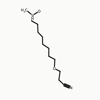 C[SiH]([O])CCCCCCCCOCCC#N